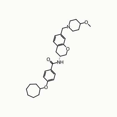 COC1CCN(Cc2ccc3c(c2)OC[C@H](NC(=O)c2ccc(OC4CCCCCC4)cc2)C3)CC1